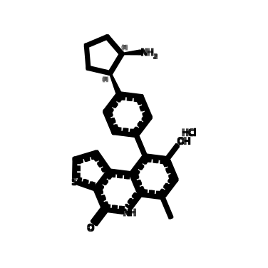 Cc1cc(O)c(-c2ccc([C@H]3CCC[C@H]3N)cc2)c2c1[nH]c(=O)c1sccc12.Cl